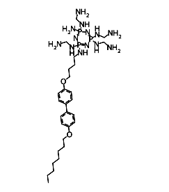 CCCCCCCCOc1ccc(-c2ccc(OCCCCNP3(NCN)=NP(NCN)(NCN)=NP(N)(NCN)=N3)cc2)cc1